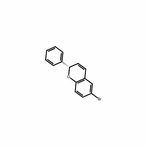 Brc1ccc2c(c1)C=C[C@@H](c1ccccc1)O2